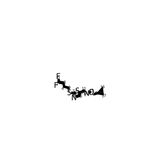 FC(F)=CCCSc1ncc(C=NOCC2CC2)s1